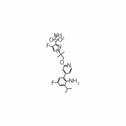 CC(C)c1cc(F)cc(-c2ccnc(OCC(C)(C)n3cc(F)c(S(N)(=O)=O)n3)c2)c1N